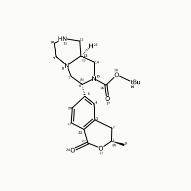 C[C@@H]1Cc2cc([C@@H]3CN4CCNC[C@H]4CN3C(=O)OC(C)(C)C)ccc2C(=O)O1